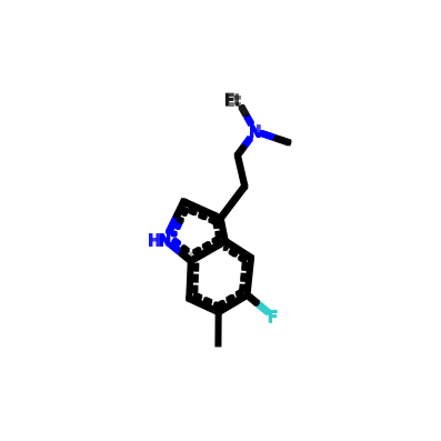 CCN(C)CCc1c[nH]c2cc(C)c(F)cc12